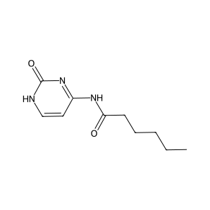 CCCCCC(=O)Nc1cc[nH]c(=O)n1